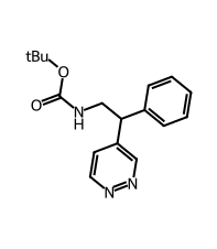 CC(C)(C)OC(=O)NCC(c1ccccc1)c1ccnnc1